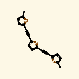 Cc1ccc(C#Cc2ccc(C#Cc3ccc(C)s3)s2)s1